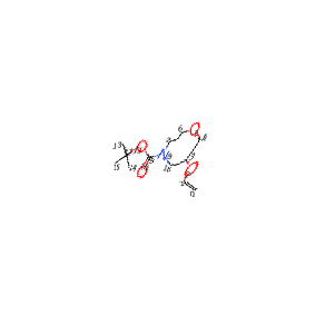 C=COC1COCCN(C(=O)OC(C)(C)C)C1